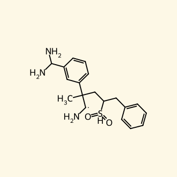 CC([CH]N)(CC(Cc1ccccc1)[SH](=O)=O)c1cccc(C(N)N)c1